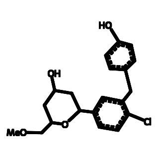 COCC1CC(O)CC(c2ccc(Cl)c(Cc3ccc(O)cc3)c2)O1